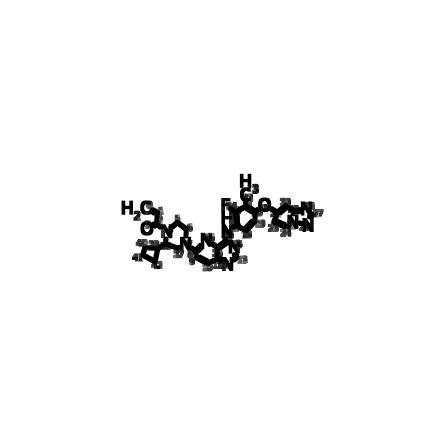 C=CC(=O)N1CCN(c2ccc3ncnc(Nc4ccc(Oc5ccn6ncnc6c5)c(C)c4F)c3n2)CC1C1CCC1